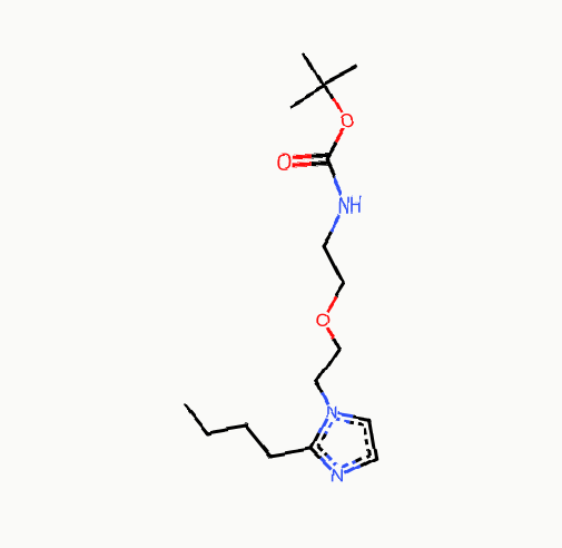 CCCCc1nccn1CCOCCNC(=O)OC(C)(C)C